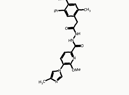 COc1cc(C)c(CC(=O)NNC(=O)c2ccc(-n3cnc(C)c3)c(OC)n2)cc1C(C)C